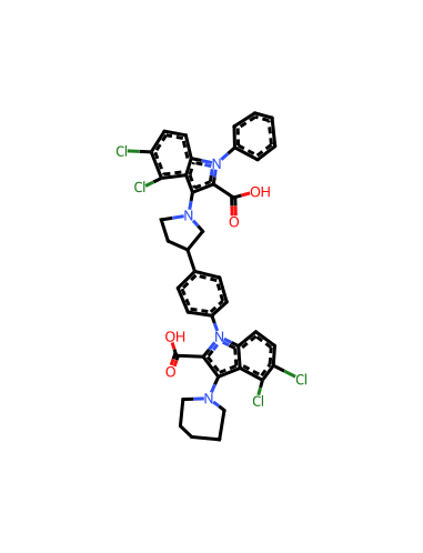 O=C(O)c1c(N2CCCCC2)c2c(Cl)c(Cl)ccc2n1-c1ccc(C2CCN(c3c(C(=O)O)n(-c4ccccc4)c4ccc(Cl)c(Cl)c34)C2)cc1